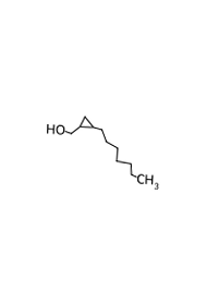 CCCCCCCC1CC1CO